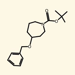 CC(C)(C)OC(=O)N1CCCC(OCc2ccccc2)CC1